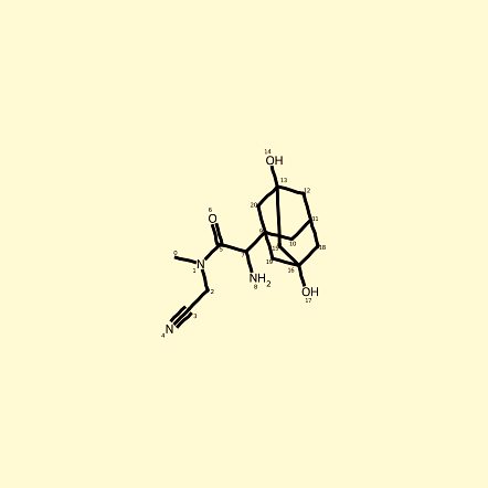 CN(CC#N)C(=O)C(N)C12CC3CC(O)(CC(O)(C3)C1)C2